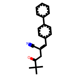 CC(C)(C)C(=O)CC(C#N)=Cc1ccc(-c2ccccc2)cc1